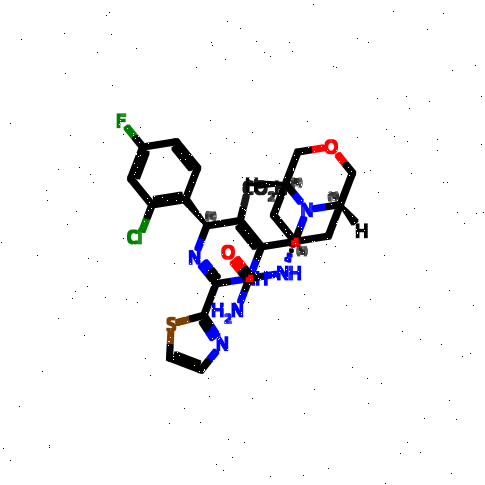 NC(=O)N[C@H]1C[C@H]2COC[C@@H](C1)N2CC1=C(C(=O)O)[C@H](c2ccc(F)cc2Cl)N=C(c2nccs2)N1